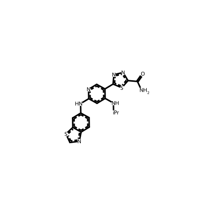 CC(C)Nc1cc(Nc2ccc3ncsc3c2)ncc1-c1nnc(C(N)=O)s1